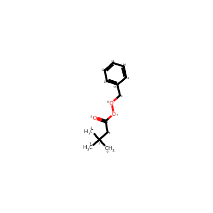 CC(C)(C)CC(=O)OOCc1ccccc1